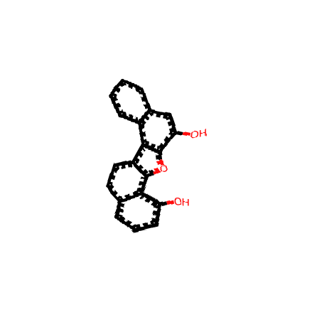 Oc1cc2ccccc2c2c1oc1c2ccc2cccc(O)c21